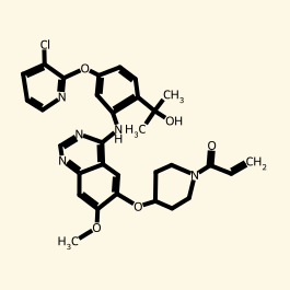 C=CC(=O)N1CCC(Oc2cc3c(Nc4cc(Oc5ncccc5Cl)ccc4C(C)(C)O)ncnc3cc2OC)CC1